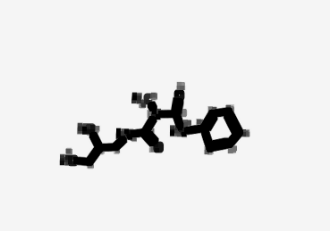 CN(C(=O)NCC(O)CO)C(=O)Nc1ccccc1